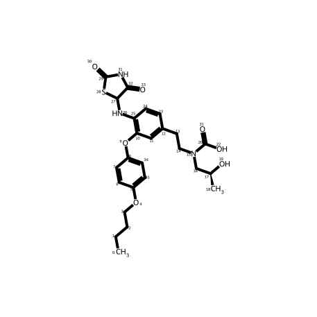 CCCCOc1ccc(Oc2cc(CCN(C[C@H](C)O)C(=O)O)ccc2NC2SC(=O)NC2=O)cc1